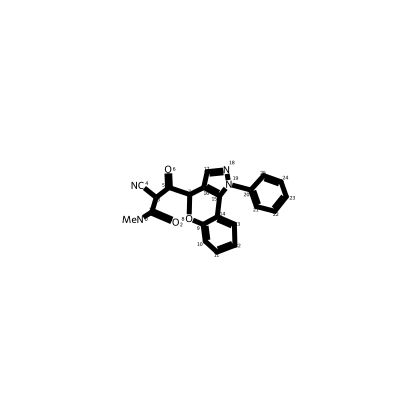 CNC(=O)C(C#N)C(=O)C1Oc2ccccc2-c2c1cnn2-c1ccccc1